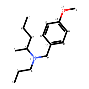 CCCC(C)N(CCC)Cc1ccc(OC)cc1